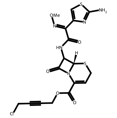 CON=C(C(=O)NC1C(=O)N2C(C(=O)OCC#CCCl)=CCS[C@@H]12)c1csc(N)n1